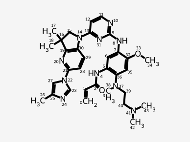 C=CC(=O)Nc1cc(Nc2nccc(N3CC(C)(C)c4nc(-n5cnc(C)c5)ccc43)n2)c(OC)cc1N(C)CCN(C)C